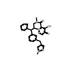 CN1CC(C(c2ccccc2)c2cccc(Cc3cnn(C)c3)c2)n2ncc(=O)c(O)c2C1=O